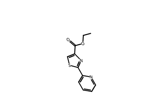 CCOC(=O)c1csc(-c2ccccn2)n1